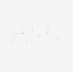 CCCCC1(NNC(=O)OC)C=CON1